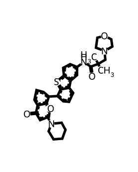 CC(C)(CN1CCOCC1)C(=O)Nc1ccc2sc3c(-c4cccc5c(=O)cc(N6CCCCC6)oc45)cccc3c2c1